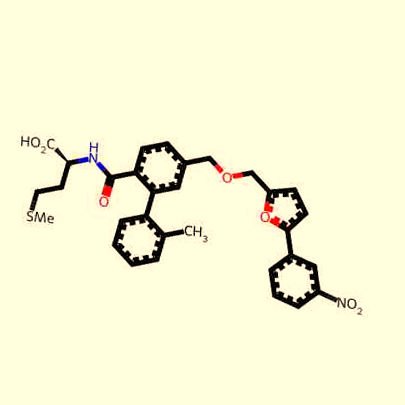 CSCC[C@H](NC(=O)c1ccc(COCc2ccc(-c3cccc([N+](=O)[O-])c3)o2)cc1-c1ccccc1C)C(=O)O